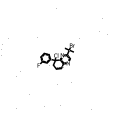 CC(C)(Br)c1cnc2c(n1)C(Cl)(c1cccc(F)c1)CC=C2